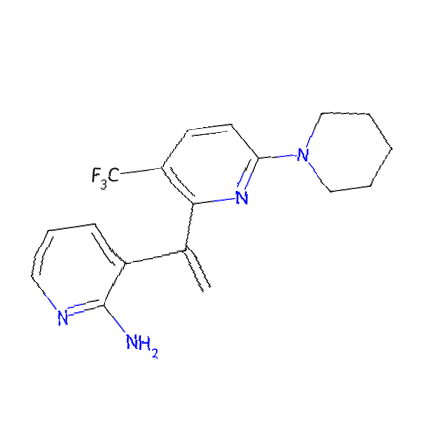 C=C(c1cccnc1N)c1nc(N2CCCCC2)ccc1C(F)(F)F